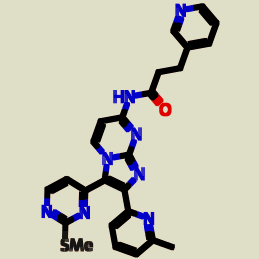 CSc1nccc(-c2c(-c3cccc(C)n3)nc3nc(NC(=O)CCc4cccnc4)ccn23)n1